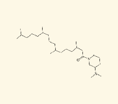 CC(C)CCCC(C)CCCC(C)CCCC(C)CC(=O)N1CCCC(N(C)C)C1